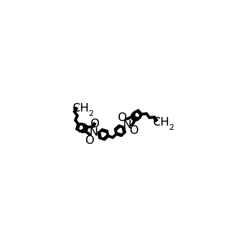 C=CCCC1=CC2CC1C1C(=O)N(c3ccc(Cc4ccc(N5C(=O)C6C7C=C(CCC=C)C(C7)C6C5=O)cc4)cc3)C(=O)C21